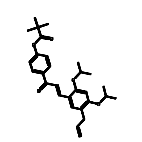 C=CCc1cc(C=CC(=O)c2ccc(OC(=O)C(C)(C)C)cc2)c(OC(C)C)cc1OC(C)C